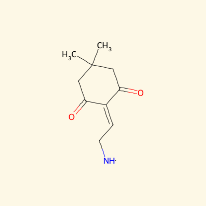 CC1(C)CC(=O)C(=CC[NH])C(=O)C1